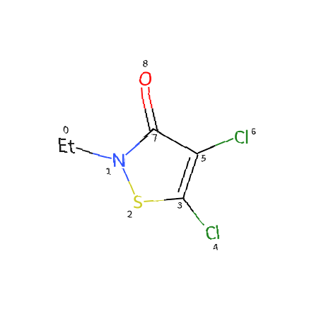 CCn1sc(Cl)c(Cl)c1=O